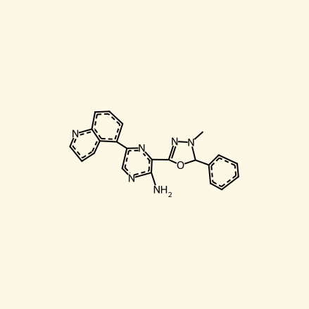 CN1N=C(c2nc(-c3cccc4ncccc34)cnc2N)OC1c1ccccc1